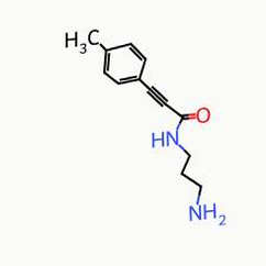 Cc1ccc(C#CC(=O)NCCCN)cc1